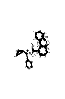 O=C(NOC(c1ccncc1)C1CC1)c1cccc2oc3ccccc3c12